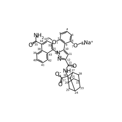 COc1cccc(OC)c1-c1cc(C(=O)NC2(C(=O)[O-])C3CC4CC(C3)CC2C4)nn1-c1ccc(C(N)=O)c2ccccc12.[Na+]